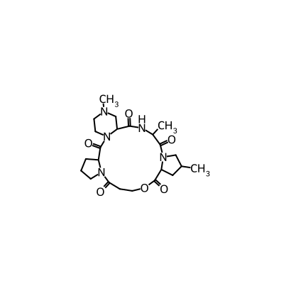 CC1CC2C(=O)OCCC(=O)N3CCCC3C(=O)N3CCN(C)CC3C(=O)NC(C)C(=O)N2C1